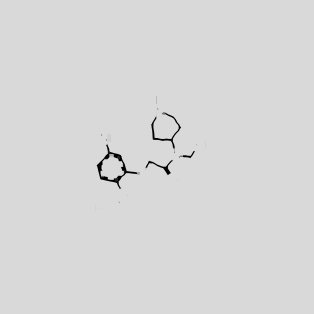 CCN(C(=O)COc1cc(N)ccc1OC)C1CCNCC1